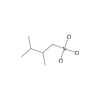 CC(C)C(C)C[Si](Cl)(Cl)Cl